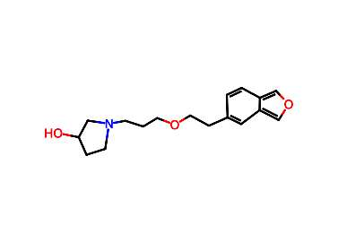 OC1CCN(CCCOCCc2ccc3cocc3c2)C1